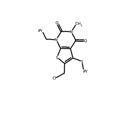 CC(C)Cn1c(=O)n(C)c(=O)c2c(SC(C)C)c(CCl)sc21